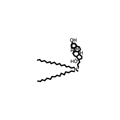 CCCCCCCCCCCCCCCC[N+](C)(CCCCCCCCCCCCCCCC)CCC[C@]1(O)CC[C@H]2[C@@H]3CCc4cc(O)ccc4[C@H]3CC[C@@]21C